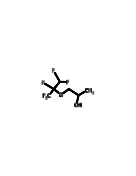 CC(O)COC(F)(C(F)F)C(F)(F)F